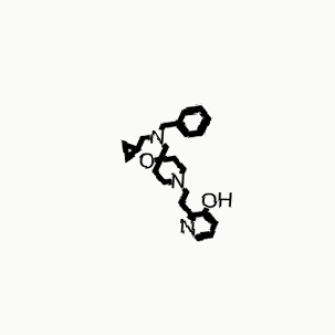 Oc1cccnc1CCN1CCC2(CC1)CN(Cc1ccccc1)CC1(CC1)O2